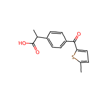 Cc1ccc(C(=O)c2ccc(C(C)C(=O)O)cc2)s1